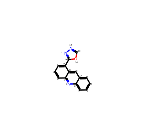 c1ccc2nc3cccc(-c4nnco4)c3cc2c1